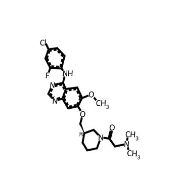 COc1cc2c(Nc3ccc(Cl)cc3F)ncnc2cc1OC[C@@H]1CCCN(C(=O)CN(C)C)C1